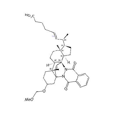 COCOC1CC[C@]2(C)[C@H]3CC[C@]4(C)[C@@H]([C@H](C)/C=C/CCCC(=O)O)CC[C@H]4[C@]34C=CC2(C1)n1c(=O)c2ccccc2c(=O)n14